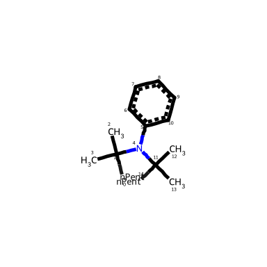 CCCCCC(C)(C)N(c1ccccc1)C(C)(C)CCCCC